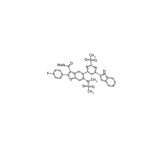 CNC(=O)c1c(-c2ccc(F)cc2)oc2cc(N(C)S(C)(=O)=O)c(-c3cc(-c4cc5ccccc5[nH]4)nc(S(C)(=O)=O)n3)cc12